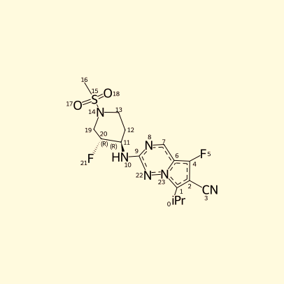 CC(C)c1c(C#N)c(F)c2cnc(N[C@@H]3CCN(S(C)(=O)=O)C[C@H]3F)nn12